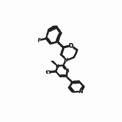 Cn1c(N2CCOC(c3cccc(F)c3)C2)nc(-c2ccncc2)cc1=O